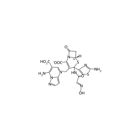 Nc1nc(C2(NC(=O)C=NO)S[C@H]3CC(=O)N3C(C(=O)[O-])=C2C[n+]2cc(C(=O)O)c(N)n3nccc32)cs1